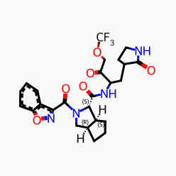 O=C1NCCC1CC(NC(=O)[C@@H]1[C@H]2CCC[C@H]2CN1C(=O)c1noc2ccccc12)C(=O)COC(F)(F)F